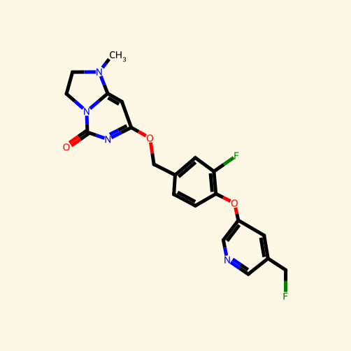 CN1CCn2c1cc(OCc1ccc(Oc3cncc(CF)c3)c(F)c1)nc2=O